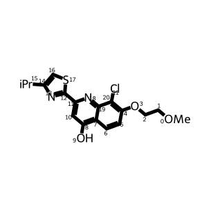 COCCOc1ccc2c(O)cc(-c3nc(C(C)C)cs3)nc2c1Cl